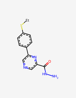 CCSc1ccc(-c2cncc(C(=O)NN)n2)cc1